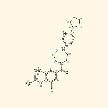 O=Cc1cc(C(=O)N2CCCN(c3ccc(N4CCCC4)nc3)CC2)cc(F)c1OC(=O)C(F)(F)F